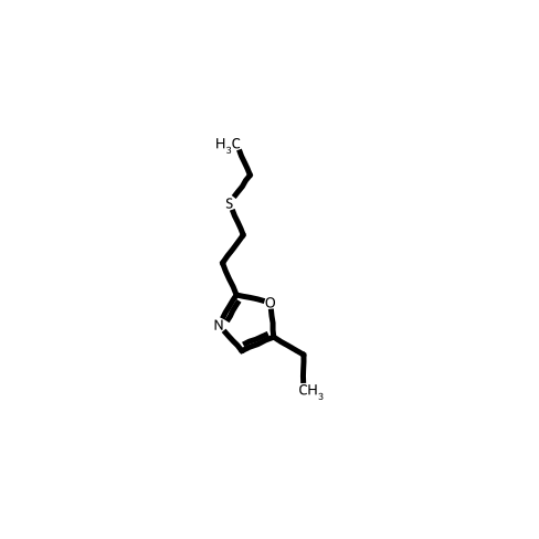 CCSCCc1ncc(CC)o1